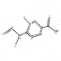 C[n+]1cc(C(=O)O)ccc1N(F)C=O